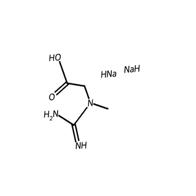 CN(CC(=O)O)C(=N)N.[NaH].[NaH]